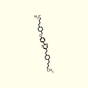 CCCCCC1CCC(CCc2cnc(-c3ccc(OCC4CCC(CCCCC)CC4)cc3)nc2)CC1